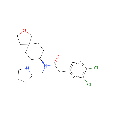 CN(C(=O)Cc1ccc(Cl)c(Cl)c1)[C@@H]1CCC2(CCOC2)C[C@H]1N1CCCC1